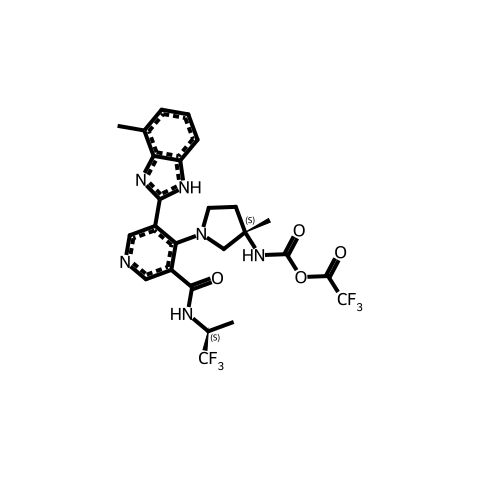 Cc1cccc2[nH]c(-c3cncc(C(=O)N[C@@H](C)C(F)(F)F)c3N3CC[C@](C)(NC(=O)OC(=O)C(F)(F)F)C3)nc12